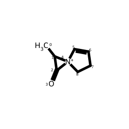 CC1C(=O)[N+]12C=CCC2